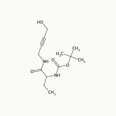 CCC(NC(=O)OC(C)(C)C)C(=O)NCC#CCO